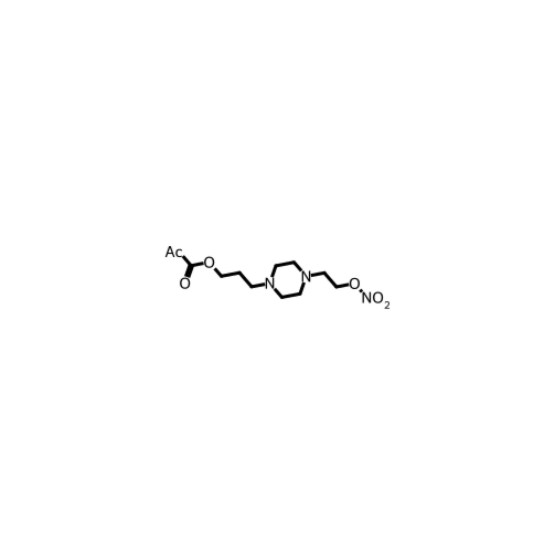 CC(=O)C(=O)OCCCN1CCN(CCO[N+](=O)[O-])CC1